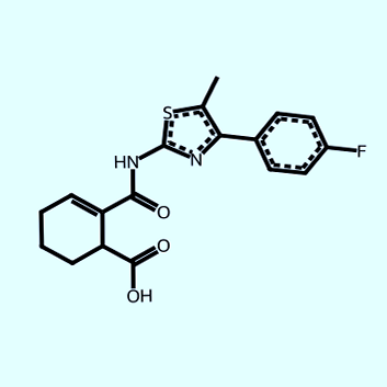 Cc1sc(NC(=O)C2=CCCCC2C(=O)O)nc1-c1ccc(F)cc1